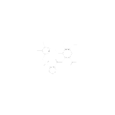 COc1cc(C(=O)O)c(CC(=O)c2sccc2S(=O)(=O)Nc2onc(C)c2Cl)c(OC)c1OC